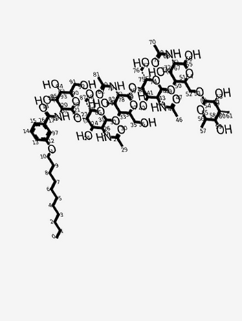 CCCCCCCCCCCOc1cccc(C(=O)N[C@@H]2C(O[C@H]3C(O)C(NC(C)=O)C(OC4C(CO)O[C@@H](O[C@H]5C(O)C(NC(C)=O)C(OC6C(CO[C@@H]7OC(C)C(O)[C@H](C)[C@H]7O)OC(O)[C@@H](NC(C)=O)[C@H]6O)O[C@H]5CO)[C@@H](NC(C)=O)[C@H]4O)O[C@H]3CO)OC(CO)[C@@H](O)[C@@H]2O)c1